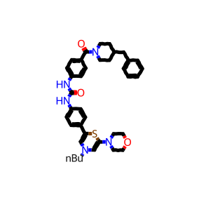 CCCCN1C=C(c2ccc(NC(=O)Nc3ccc(C(=O)N4CCC(Cc5ccccc5)CC4)cc3)cc2)SC(N2CCOCC2)=C1